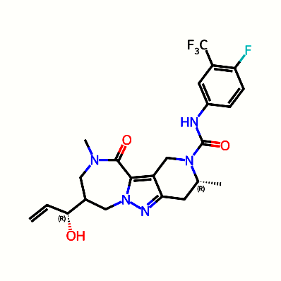 C=C[C@@H](O)C1CN(C)C(=O)c2c3c(nn2C1)C[C@@H](C)N(C(=O)Nc1ccc(F)c(C(F)(F)F)c1)C3